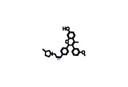 COc1cccc(C2=C(C)c3ccc(O)cc3OC2c2ccc(/C=C\CN3CCC(C)C3)cc2)c1